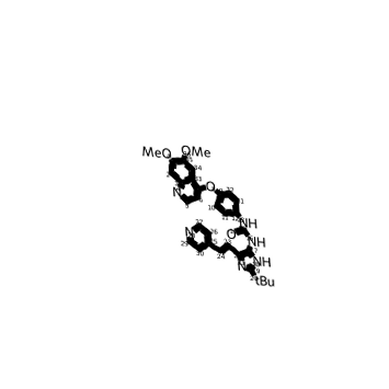 COc1cc2nccc(Oc3ccc(NC(=O)Nc4[nH]c(C(C)(C)C)nc4C=Cc4ccncc4)cc3)c2cc1OC